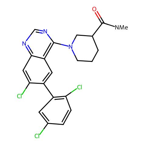 CNC(=O)C1CCCN(c2ncnc3cc(Cl)c(-c4cc(Cl)ccc4Cl)cc23)C1